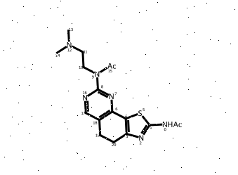 CC(=O)Nc1nc2c(s1)-c1nc(N(CCN(C)C)C(C)=O)ncc1CC2